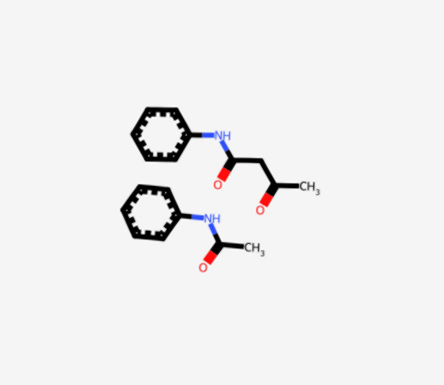 CC(=O)CC(=O)Nc1ccccc1.CC(=O)Nc1ccccc1